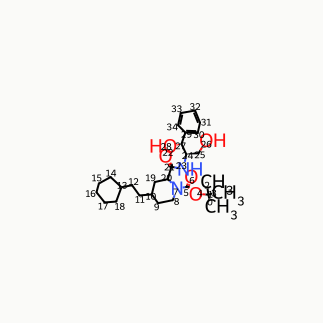 CC(C)(C)OC(=O)N1CCC(CCC2CCCCC2)CC1C(=O)N[C@H](CO)[C@H](O)c1ccccc1